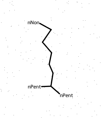 CCCCCCCCCCCC[CH]CC(CCCCC)CCCCC